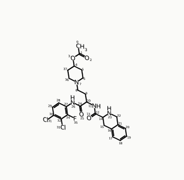 CC(=O)OC1CCN(CCC(NC(=O)C2Cc3ccccc3CN2)C(=O)Nc2ccc(Cl)c(Cl)c2F)CC1